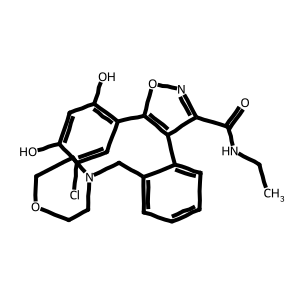 CCNC(=O)c1noc(-c2cc(Cl)c(O)cc2O)c1-c1ccccc1CN1CCOCC1